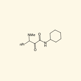 CCCC(NC)C(=O)C(=O)NC1CCCCC1